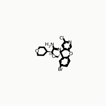 NC1=N[C@]2(CO[C@H]1C1CCOCC1)c1cc(Br)ccc1Oc1cnc(Cl)cc12